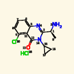 C[C@H](N)c1nc2cccc(Cl)c2c(=O)n1C1CC1.Cl